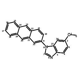 COc1ccc2ncn(-c3ccc4cc5ccccc5cc4c3)c2c1